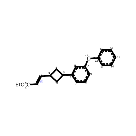 CCOC(=O)/C=C/C1CC(c2cccc(Oc3ccccc3)c2)C1